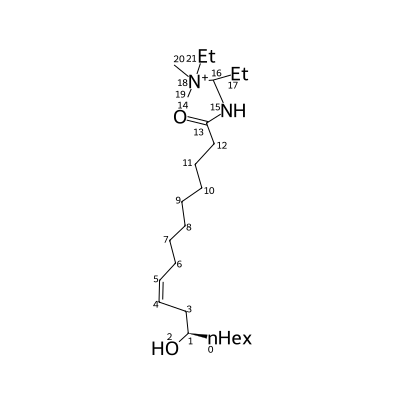 CCCCCC[C@@H](O)C/C=C\CCCCCCCC(=O)NC(CC)[N+](C)(C)CC